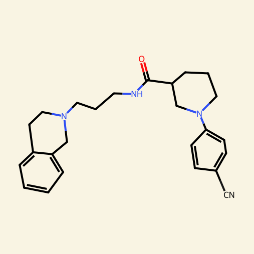 N#Cc1ccc(N2CCCC(C(=O)NCCCN3CCc4ccccc4C3)C2)cc1